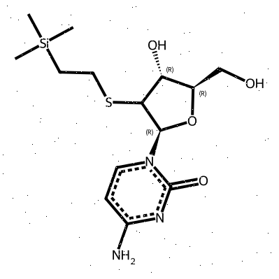 C[Si](C)(C)CCSC1[C@H](n2ccc(N)nc2=O)O[C@H](CO)[C@H]1O